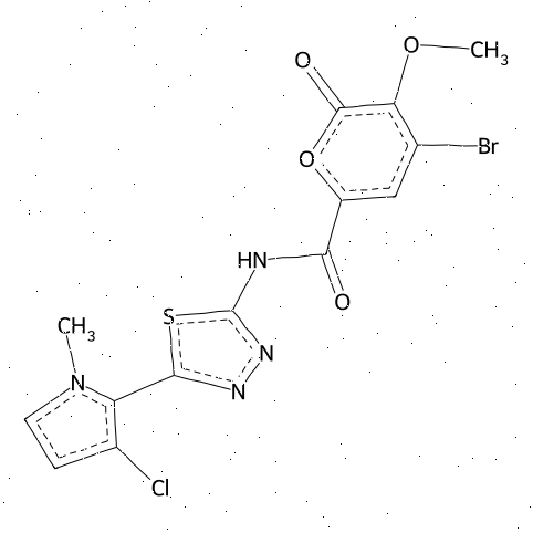 COc1c(Br)cc(C(=O)Nc2nnc(-c3c(Cl)ccn3C)s2)oc1=O